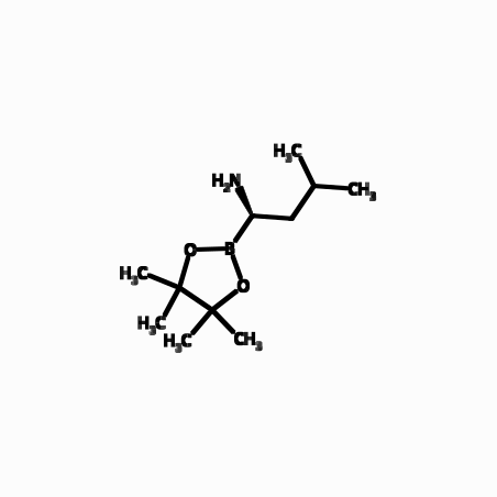 CC(C)C[C@H](N)B1OC(C)(C)C(C)(C)O1